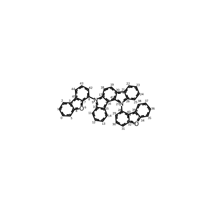 c1ccc2c(c1)oc1c(-n3c4ccccc4c4c3ccc3c5ccccc5n(-c5cccc6oc7ccccc7c56)c34)cccc12